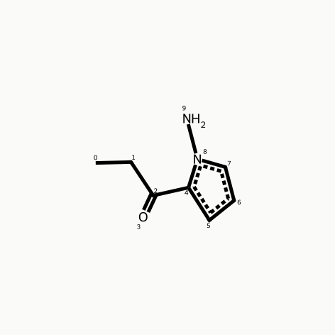 CCC(=O)c1cccn1N